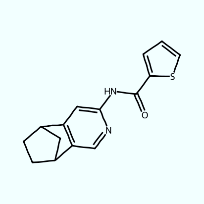 O=C(Nc1cc2c(cn1)C1CCC2C1)c1cccs1